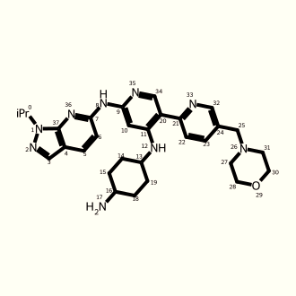 CC(C)n1ncc2ccc(Nc3cc(NC4CCC(N)CC4)c(-c4ccc(CN5CCOCC5)cn4)cn3)nc21